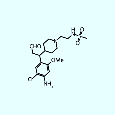 COc1cc(N)c(Cl)cc1C(CC=O)C1CCN(CCNS(C)(=O)=O)CC1